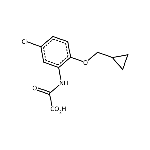 O=C(O)C(=O)Nc1cc(Cl)ccc1OCC1CC1